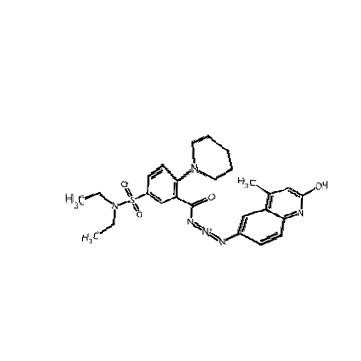 CCN(CC)S(=O)(=O)c1ccc(N2CCCCC2)c(C(=O)N=[N+]=Nc2ccc3nc(O)cc(C)c3c2)c1